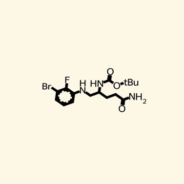 CC(C)(C)OC(=O)NC(CCC(N)=O)CNc1cccc(Br)c1F